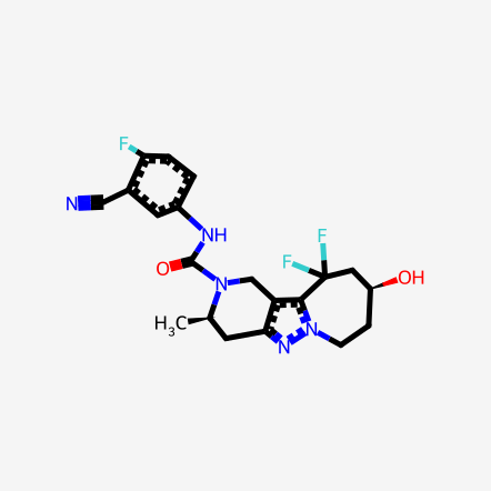 C[C@@H]1Cc2nn3c(c2CN1C(=O)Nc1ccc(F)c(C#N)c1)C(F)(F)C[C@@H](O)CC3